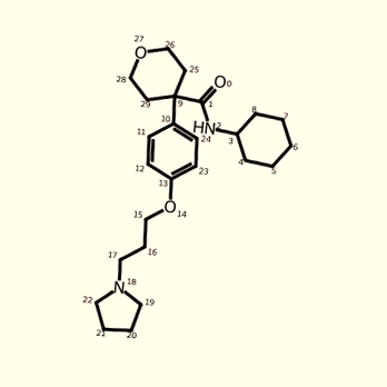 O=C(NC1CCCCC1)C1(c2ccc(OCCCN3CCCC3)cc2)CCOCC1